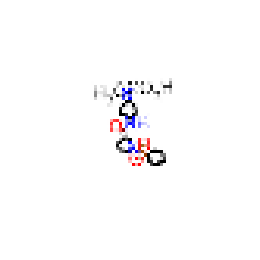 CN(C(=O)O)[C@H]1CC[C@H](NC(=O)[C@H]2CCCN(S(=O)(=O)c3ccccc3)C2)CC1